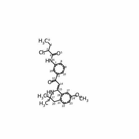 CCC(Cl)C(=O)Nc1cccc(C(=O)C=C2NC(C)(C)Cc3ccc(OC)cc32)c1